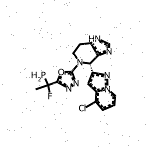 CC(F)(P)c1nnc(N2CCc3[nH]cnc3[C@@H]2c2cc3c(Cl)cccn3n2)o1